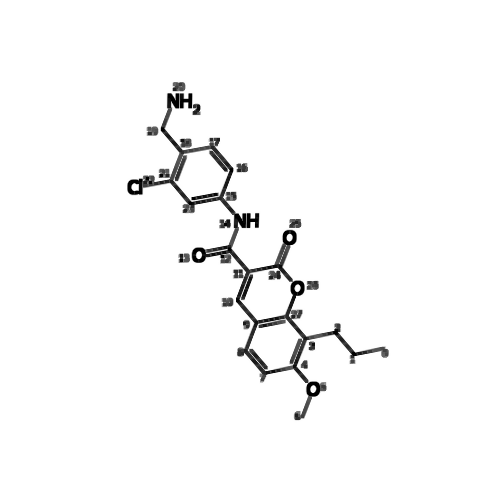 CCCc1c(OC)ccc2cc(C(=O)Nc3ccc(CN)c(Cl)c3)c(=O)oc12